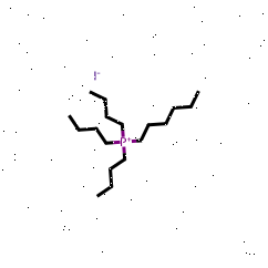 CCCCCC[P+](CCCC)(CCCC)CCCC.[I-]